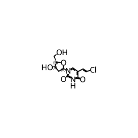 O=c1[nH]c(=O)n([C@H]2C[C@H](O)[C@@H](CO)O2)cc1C=CCl